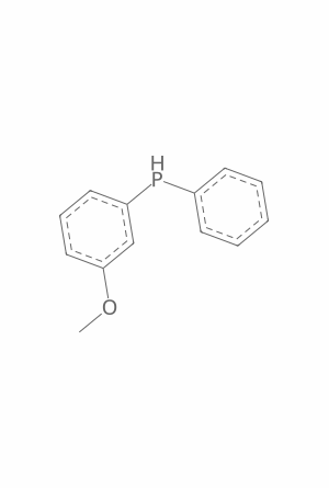 COc1cccc(Pc2ccccc2)c1